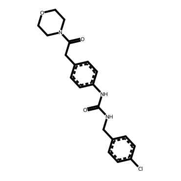 O=C(NCc1ccc(Cl)cc1)Nc1ccc(CC(=O)N2CCOCC2)cc1